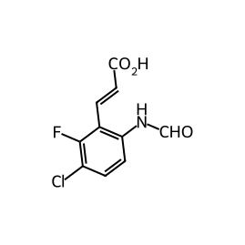 O=CNc1ccc(Cl)c(F)c1/C=C/C(=O)O